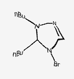 CCCCC1N(Br)C=NN1CCCC